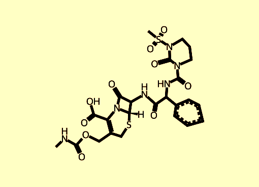 CNC(=O)OCC1=C(C(=O)O)N2C(=O)C(NC(=O)C(NC(=O)N3CCCN(S(C)(=O)=O)C3=O)c3ccccc3)[C@@H]2SC1